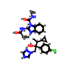 CC(C1CC1)C(O)(Cn1cncn1)c1ccc(Cl)cc1.CCCCNC(=O)n1c(NC(=O)OC)nc2ccccc21